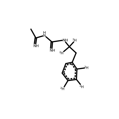 [2H]c1ccc(CC([2H])([2H])NC(=N)NC(C)=N)c([2H])c1[2H]